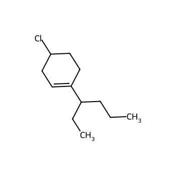 CCCC(CC)C1=CCC(Cl)CC1